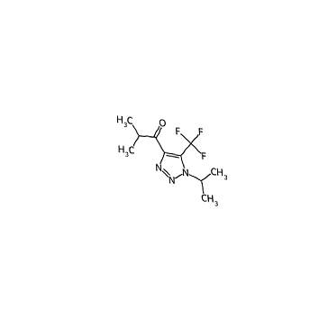 CC(C)C(=O)c1nnn(C(C)C)c1C(F)(F)F